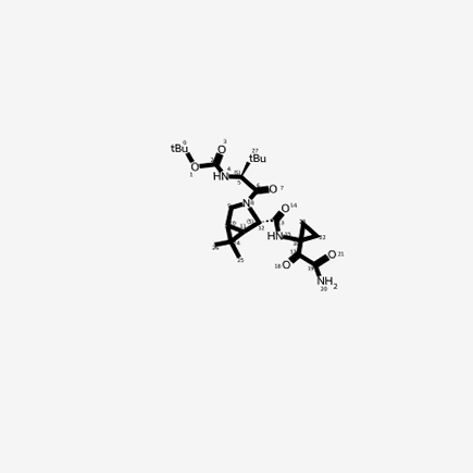 CC(C)(C)OC(=O)N[C@H](C(=O)N1CC2C([C@H]1C(=O)NC1(C(=O)C(N)=O)CC1)C2(C)C)C(C)(C)C